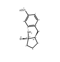 CCCCCCCCc1ccc(C[C@H]2CCC[C@@]2(N)CC)cc1